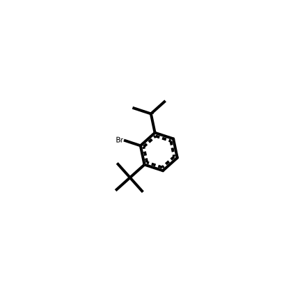 C[C](C)c1cccc(C(C)(C)C)c1Br